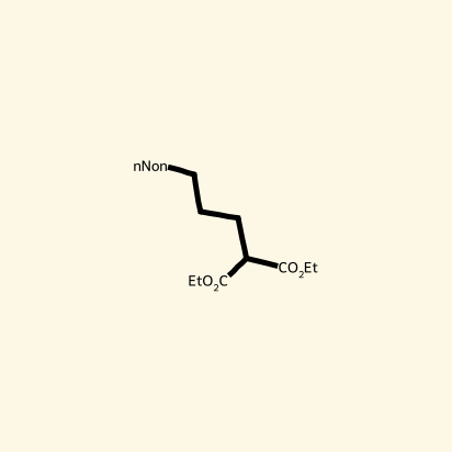 CCCCCCCCCCCCC(C(=O)OCC)C(=O)OCC